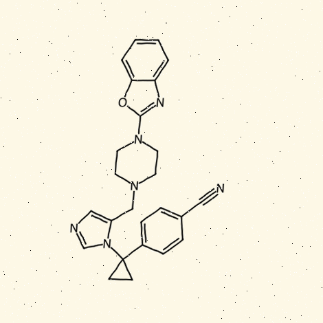 N#Cc1ccc(C2(n3cncc3CN3CCN(c4nc5ccccc5o4)CC3)CC2)cc1